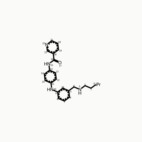 CC(C)CCNCc1cccc(Nc2ccc(NC(=O)c3cccnc3)cc2)c1